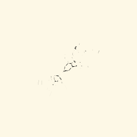 CC(=O)c1nn(CC(=O)OC(C)(C)C)c2c(C)cc(-c3cnc(C(C)(C)O)nc3)cc12